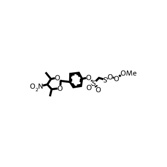 COOOSCS(=O)(=O)Oc1ccc(C2OC(C)C([N+](=O)[O-])C(C)O2)cc1